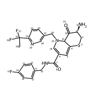 N[C@H]1CSC2=CC(C(=O)NCc3ccc(F)cc3)=CN(Cc3ccc(C(F)(F)F)nc3)C2C1=O